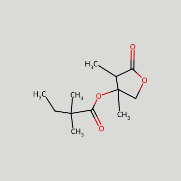 CCC(C)(C)C(=O)OC1(C)COC(=O)C1C